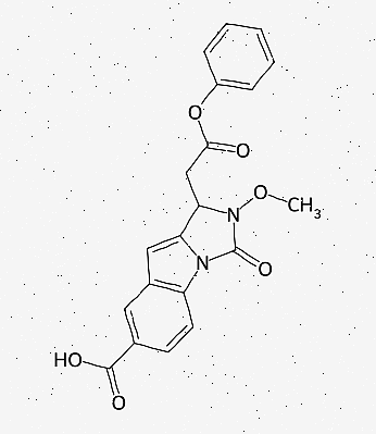 CON1C(=O)n2c(cc3cc(C(=O)O)ccc32)C1CC(=O)Oc1ccccc1